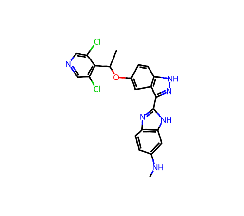 CNc1ccc2nc(-c3n[nH]c4ccc(OC(C)c5c(Cl)cncc5Cl)cc34)[nH]c2c1